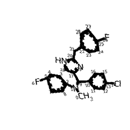 CN(c1ccc(F)cc1)C(c1ccc(Cl)cc1)c1c[nH]c(Cc2ccc(F)cc2)n1